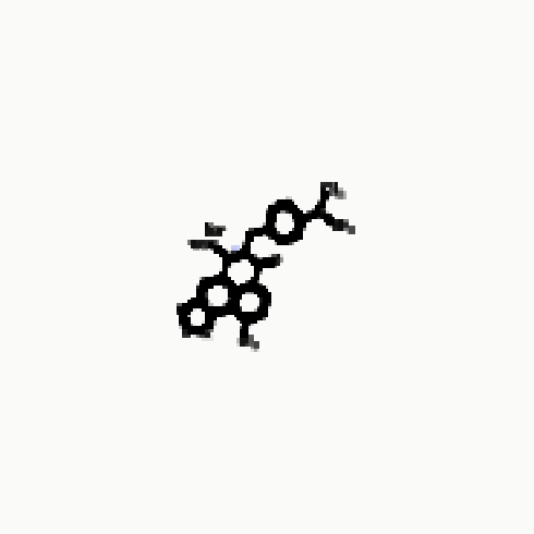 Cc1ccc(C(=O)/C(Cc2ccc(N(C)C)cc2)=C(/C(=O)[O-])c2ccc3nsnc3c2)cc1.[Na+]